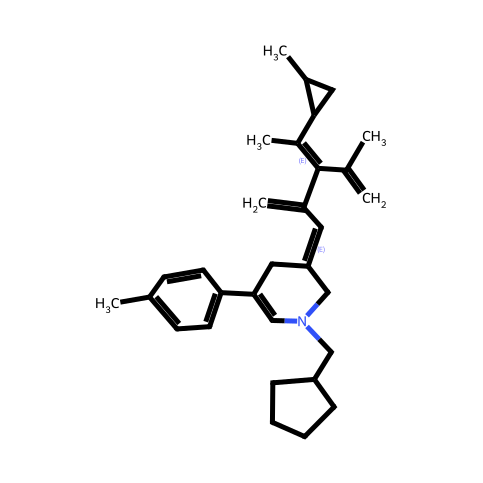 C=C(C)/C(C(=C)/C=C1\CC(c2ccc(C)cc2)=CN(CC2CCCC2)C1)=C(/C)C1CC1C